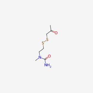 CC(=O)CSSCCN(C)C(N)=O